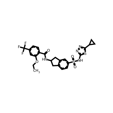 CCOc1cc(C(F)(F)F)ccc1C(=O)NC1Cc2ccc(S(=O)(=O)Nc3nnc(C4CC4)s3)cc2C1